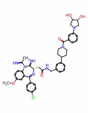 COc1ccc2c(c1)C(c1ccc(Cl)cc1)=N[C@@H](CC(=O)NCc1cccc(C3CCN(C(=O)c4cccc(N5C[C@@H](O)[C@@H](O)C5)c4)CC3)c1)C(=N)N2C(C)=N